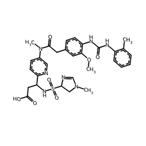 COc1cc(CC(=O)N(C)c2ccc(C(CC(=O)O)NS(=O)(=O)C3CN(C)C=N3)nc2)ccc1NC(=O)Nc1ccccc1C